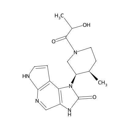 CC(O)C(=O)N1CC[C@@H](C)[C@@H](n2c(=O)[nH]c3cnc4[nH]ccc4c32)C1